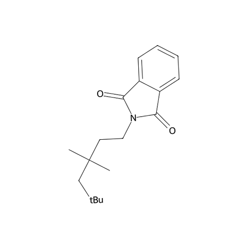 CC(C)(C)CC(C)(C)CCN1C(=O)c2ccccc2C1=O